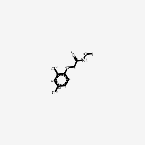 CONC(=O)COc1ccc(Cl)cc1Cl